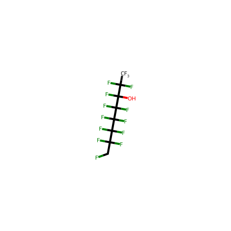 OC(F)(C(F)(F)C(F)(F)F)C(F)(F)C(F)(F)C(F)(F)C(F)(F)CF